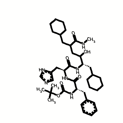 CNC(=O)C(CC1CCCCC1)CC(O)[C@H](CC1CCCCC1)NC(=O)[C@H](Cc1cnc[nH]1)NC(=O)[C@H](Cc1ccccc1)NC(=O)OC(C)(C)C